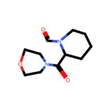 O=[C]N1CCCCC1C(=O)N1CCOCC1